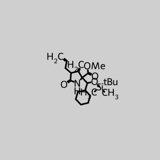 C=CCC1C(=C)C(C(=O)OC)(C(O[Si](C)(C)C(C)(C)C)C2CCCCC2)NC1=O